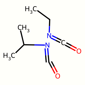 CC(C)N=C=O.CCN=C=O